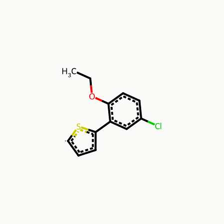 CCOc1ccc(Cl)cc1-c1cc[c]s1